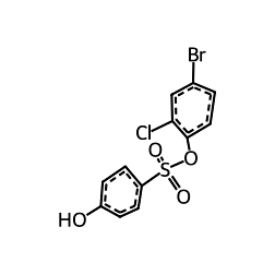 O=S(=O)(Oc1ccc(Br)cc1Cl)c1ccc(O)cc1